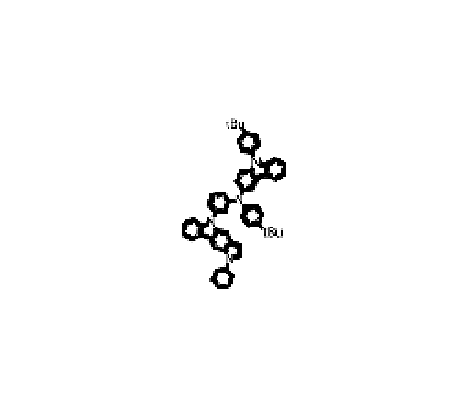 CC(C)(C)c1ccc(N(c2cccc(-n3c4ccccc4c4cc5c(ccn5-c5ccccc5)cc43)c2)c2ccc3c(c2)c2ccccc2n3-c2ccc(C(C)(C)C)cc2)cc1